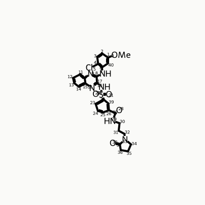 COc1ccc(Cl)c(Nc2nc3ccccc3nc2NS(=O)(=O)c2cccc(C(=O)NCCCN3CCCC3=O)c2)c1